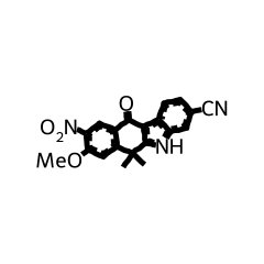 COc1cc2c(cc1[N+](=O)[O-])C(=O)c1c([nH]c3cc(C#N)ccc13)C2(C)C